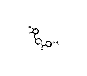 NC1=CC=C(C(=O)N2CCN(Cc3cccc(O)c3Cl)CC2)CC1